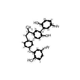 CCCc1ccc(O)c(Oc2ccc(CC(C)c3ccc(O)c(-c4cc(CCC)ccc4O)c3)cc2)c1